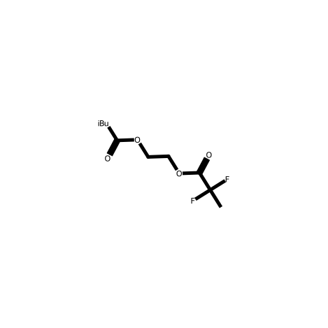 CCC(C)C(=O)OCCOC(=O)C(C)(F)F